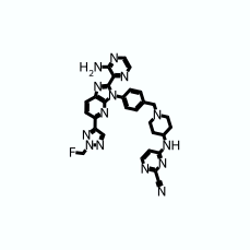 N#Cc1nccc(NC2CCN(Cc3ccc(-n4c(-c5nccnc5N)nc5ccc(-c6cnn(CF)n6)nc54)cc3)CC2)n1